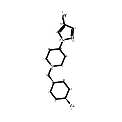 CC(=O)[C@H]1CC[C@@H](CN2CCC(n3cc(C(C)C)cn3)CC2)CC1